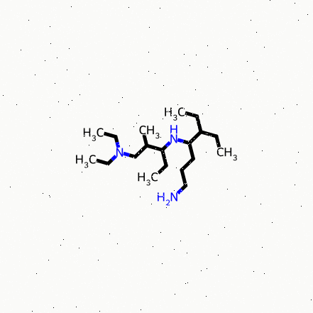 CCC(CC)C(CCCN)NC(CC)C(C)CN(CC)CC